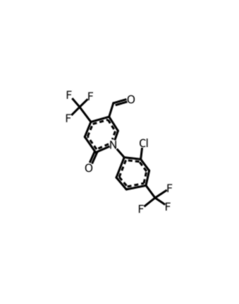 O=Cc1cn(-c2ccc(C(F)(F)F)cc2Cl)c(=O)cc1C(F)(F)F